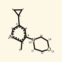 Cc1ncc(C2CC2)cc1N1CCOCC1